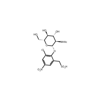 CC(=O)N[C@H]1[C@H](Oc2c(Cl)cc([N+](=O)[O-])cc2CS(=O)(=O)O)O[C@H](CO)[C@@H](O)[C@@H]1O